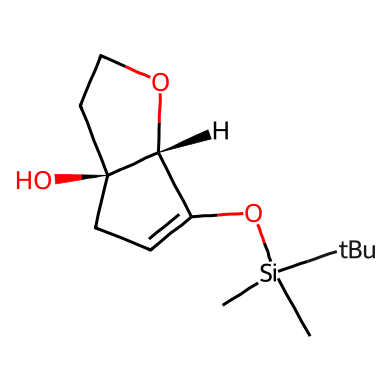 CC(C)(C)[Si](C)(C)OC1=CC[C@]2(O)CCO[C@H]12